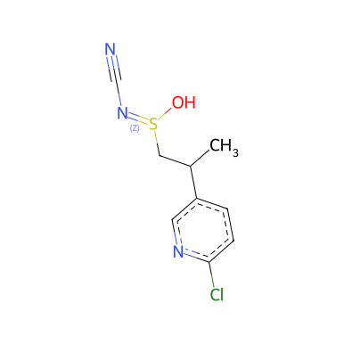 CC(C/S(O)=N/C#N)c1ccc(Cl)nc1